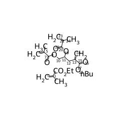 C=C(C)C(=O)OCC.C=C(C)C(=O)OCC(CC(=C)C(=O)OCCCC)OC(=O)C(=C)C